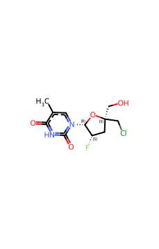 Cc1cn([C@@H]2O[C@@](CO)(CCl)C[C@@H]2F)c(=O)[nH]c1=O